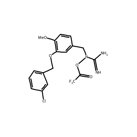 COc1ccc(CN(OC(=O)C(F)(F)F)C(=N)N)cc1OCc1cccc(Cl)c1